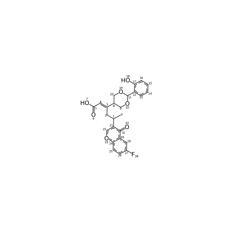 CC(C/C(=C\C(=O)O)C1COC(c2ccccc2O)OC1)c1coc2ccc(F)cc2c1=O